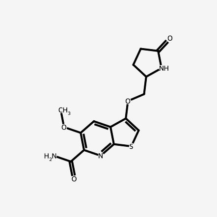 COc1cc2c(OCC3CCC(=O)N3)csc2nc1C(N)=O